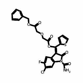 NC(=O)N1C(=O)C(=C(OC(=O)COCC(=O)OCc2ccccc2)c2cccs2)c2cc(F)c(Cl)cc21